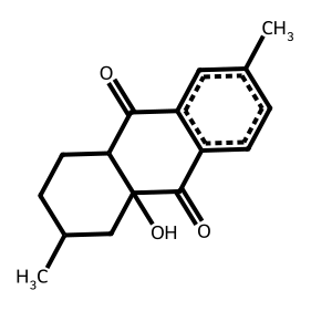 Cc1ccc2c(c1)C(=O)C1CCC(C)CC1(O)C2=O